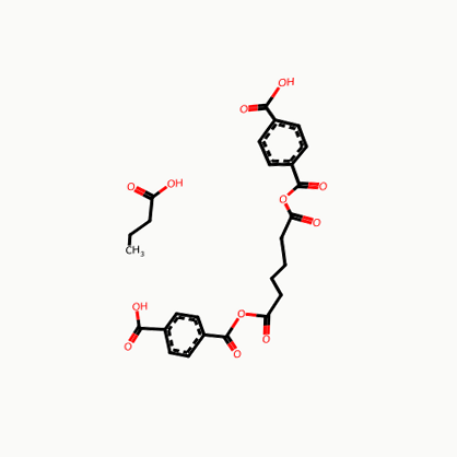 CCCC(=O)O.O=C(CCCCC(=O)OC(=O)c1ccc(C(=O)O)cc1)OC(=O)c1ccc(C(=O)O)cc1